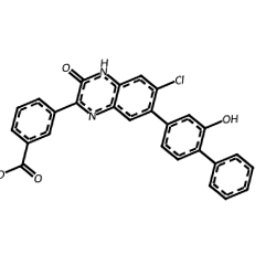 O=C(O)c1cccc(-c2nc3cc(-c4ccc(-c5ccccc5)c(O)c4)c(Cl)cc3[nH]c2=O)c1